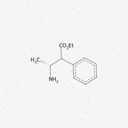 CCOC(=O)C(c1ccccc1)[C@@H](C)N